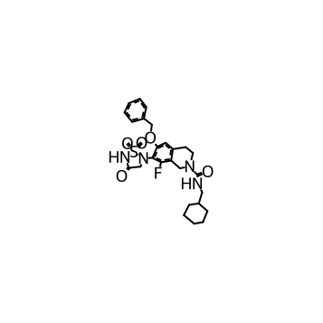 O=C1CN(c2c(OCc3ccccc3)cc3c(c2F)CN(C(=O)NCC2CCCCC2)CC3)S(=O)(=O)N1